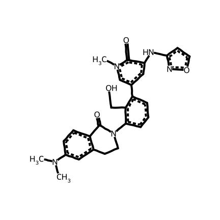 CN(C)c1ccc2c(c1)CCN(c1cccc(-c3cc(Nc4ccon4)c(=O)n(C)c3)c1CO)C2=O